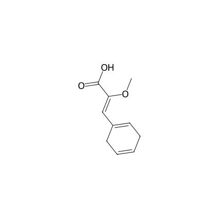 COC(=CC1=CCC=CC1)C(=O)O